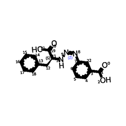 O=C(O)c1cccc(/N=N\N[C@@H](Cc2ccccc2)C(=O)O)c1